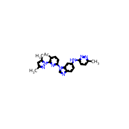 CC(=O)c1ccc(-n2cnc3ccc(Nc4ccc(C)nn4)cc32)nc1-n1nc(C)cc1C